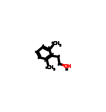 Cc1cccc(C)c1CCO